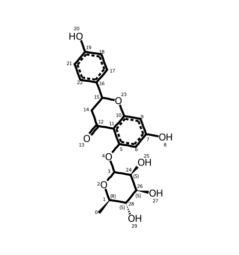 C[C@H]1OC(Oc2cc(O)cc3c2C(=O)CC(c2ccc(O)cc2)O3)[C@@H](O)[C@@H](O)[C@@H]1O